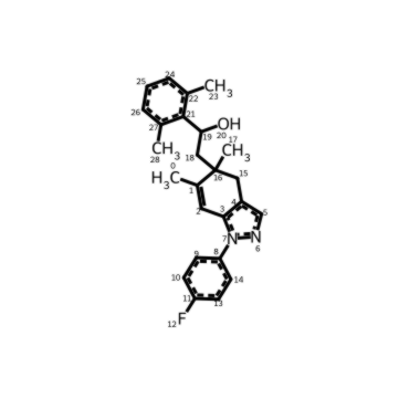 CC1=Cc2c(cnn2-c2ccc(F)cc2)CC1(C)CC(O)c1c(C)cccc1C